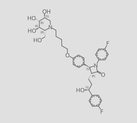 O=C1[C@H](CC[C@H](O)c2ccc(F)cc2)[C@@H](c2ccc(OCCCCCN3C[C@H](O)[C@@H](O)[C@H](O)[C@H]3CO)cc2)N1c1ccc(F)cc1